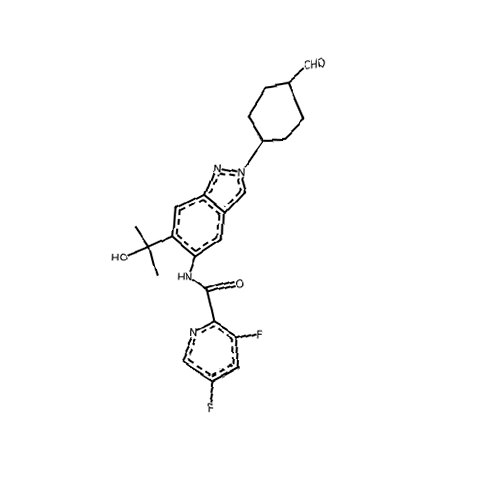 CC(C)(O)c1cc2nn(C3CCC(C=O)CC3)cc2cc1NC(=O)c1ncc(F)cc1F